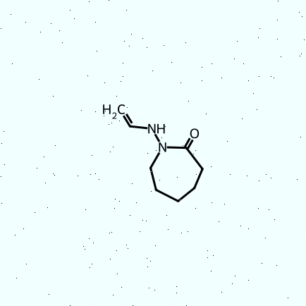 C=CNN1CCCCCC1=O